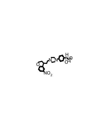 CS(=O)(=O)Nc1ccc(N2CCN(CCC3CCOc4ccc([N+](=O)[O-])cc43)CC2)cc1